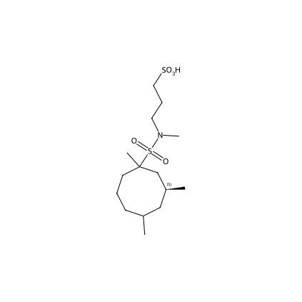 CC1CCCC(C)(S(=O)(=O)N(C)CCCS(=O)(=O)O)C[C@@H](C)C1